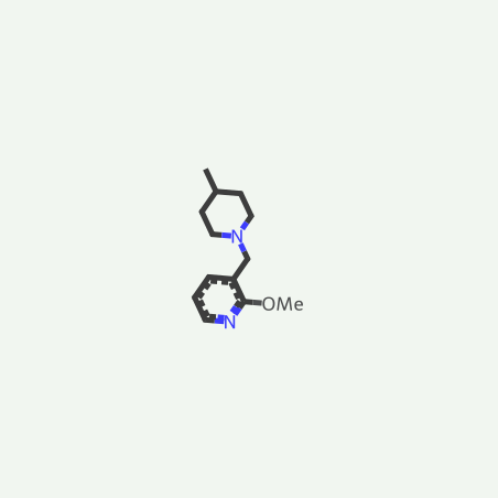 COc1ncccc1CN1CCC(C)CC1